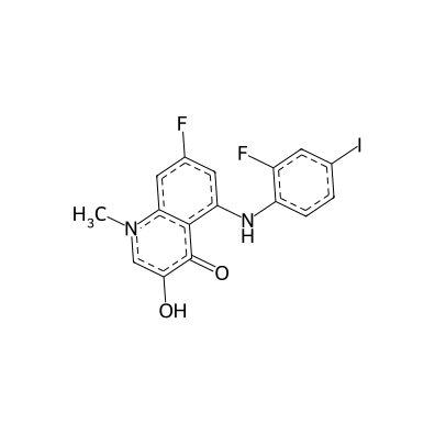 Cn1cc(O)c(=O)c2c(Nc3ccc(I)cc3F)cc(F)cc21